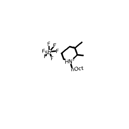 CCCCCCCC[NH+]1CCCC(C)C1C.[F][Sb-]([F])([F])([F])([F])[F]